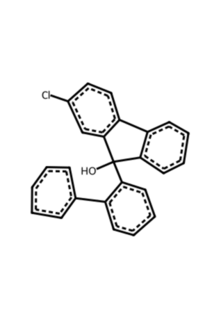 OC1(c2ccccc2-c2ccccc2)c2ccccc2-c2ccc(Cl)cc21